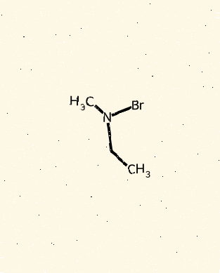 CCN(C)Br